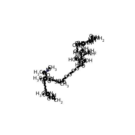 C=C1C[C@H]2C=Nc3cc(OCCCCCOc4cc(NC(=O)OCCSSC[C@@H](C)NC(=O)CCOCCOCCOCCOCCNC(=O)[C@H](CC(=O)O)NC(=O)[C@H](CC(=O)O)NC(=O)[C@H](CCCNC(=N)N)NC(=O)[C@H](CC(=O)O)NC(=O)CC[C@H](NC(=O)c5ccc(NCc6cnc7nc(N)[nH]c(=O)c7n6)cc5)C(=O)O)c(C(=O)N5CC(=C)C[C@H]5/C=N/OC)cc4OC)c(OC)cc3C(=O)N2C1